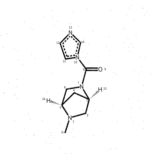 CN1C[C@H]2C[C@@H]1CN2C(=O)n1ccnc1